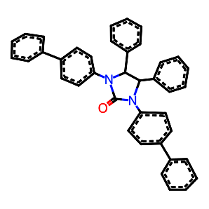 O=C1N(c2ccc(-c3ccccc3)cc2)C(c2ccccc2)C(c2ccccc2)N1c1ccc(-c2ccccc2)cc1